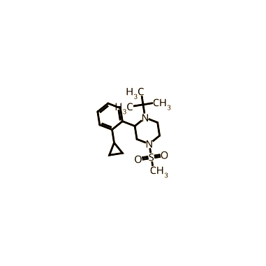 CC(C)(C)N1CCN(S(C)(=O)=O)CC1c1ccccc1C1CC1